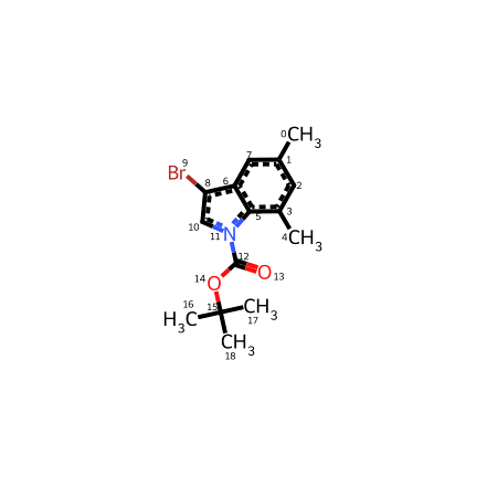 Cc1cc(C)c2c(c1)c(Br)cn2C(=O)OC(C)(C)C